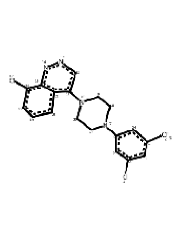 FC(F)(F)c1cc(Cl)cc(N2CCN(c3cnnc4c(Cl)cccc34)CC2)c1